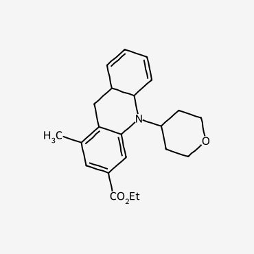 CCOC(=O)c1cc(C)c2c(c1)N(C1CCOCC1)C1C=CC=CC1C2